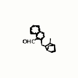 CC1C2C=CC(C2)C1Cc1ccc2ccccc2c1C=O